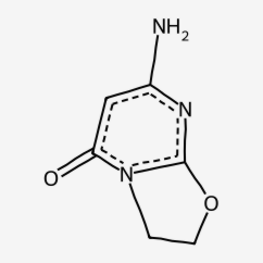 Nc1cc(=O)n2c(n1)OCC2